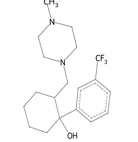 CN1CCN(CC2CCCCC2(O)c2cccc(C(F)(F)F)c2)CC1